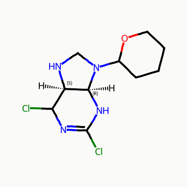 ClC1=NC(Cl)[C@H]2NCN(C3CCCCO3)[C@H]2N1